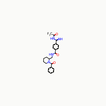 N=C(NC(=O)C(F)(F)F)c1ccc(C(=O)NCC2CCCCN2C(=O)c2ccccc2)cc1